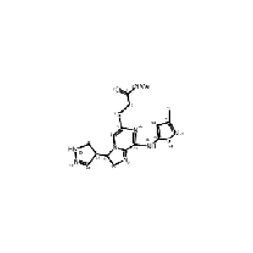 CNC(=O)CSC1=CN2C(=NCC2C2C=NNC2)C(Nc2cc(C)ns2)=N1